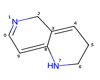 C1=NCC2=CCCNC2=C1